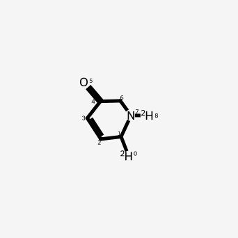 [2H]C1C=CC(=O)CN1[2H]